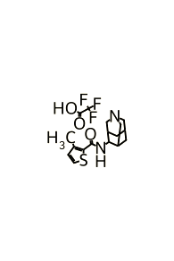 Cc1ccsc1C(=O)NC1C2CC3CC1CN(C3)C2.O=C(O)C(F)(F)F